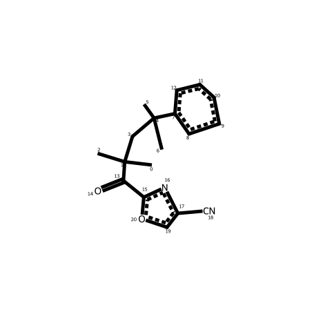 CC(C)(CC(C)(C)c1ccccc1)C(=O)c1nc(C#N)co1